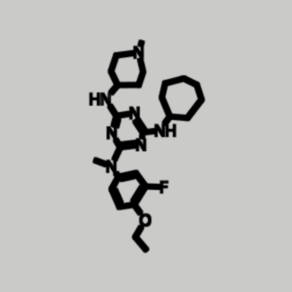 CCOc1ccc(N(C)c2nc(NC3CCCCCC3)nc(NC3CCN(C)CC3)n2)cc1F